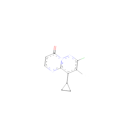 Cc1c(Cl)nn2c(=O)ccnc2c1C1CC1